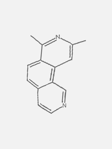 Cc1cc2c(ccc3ccncc32)c(C)n1